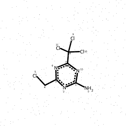 Nc1nc(CCl)nc(C(Cl)(Cl)Cl)n1